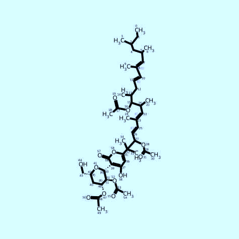 CCC(C)CC(C)/C=C(C)/C=C/CC(C)C(OC(C)=O)C(C)/C=C(C)/C=C/C(OC(C)=O)C(C)(C)c1cc(O)c([C@H]2O[C@@H](CO)C[C@@H](OC(C)=O)[C@@H]2OC(C)=O)c(=O)o1